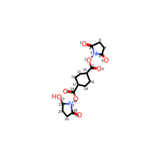 O=C(ON1C(=O)CCC1=O)C1CCC(C(=O)ON2C(=O)CCC2O)CC1